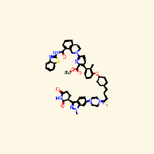 Cc1c(OC2CCC(CCC[C@H](C)N3CCN(c4ccc5c(C6CCC(=O)NC6=O)nn(C)c5c4)CC3)CC2)cccc1-c1ccc(N2CCc3cccc(C(=O)Nc4nc5ccccc5s4)c3C2)nc1C(=O)OC(C)(C)C